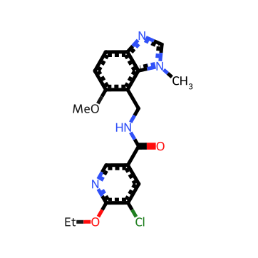 CCOc1ncc(C(=O)NCc2c(OC)ccc3ncn(C)c23)cc1Cl